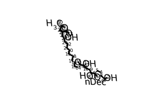 CCCCCCCCCC[C@H](O)[C@H]1CC[C@H]([C@H](O)CC[C@H](O)[C@@H]2CC[C@@H](CCCCCCC[C@@H](O)CC3=C[C@H](C)OC3=O)O2)O1